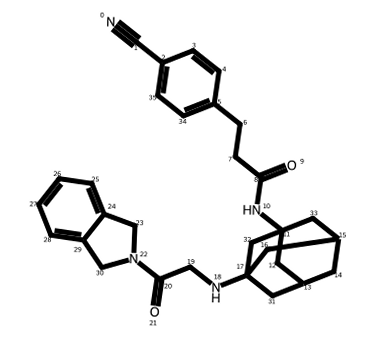 N#Cc1ccc(CCC(=O)NC23CC4CC(CC(NCC(=O)N5Cc6ccccc6C5)(C4)C2)C3)cc1